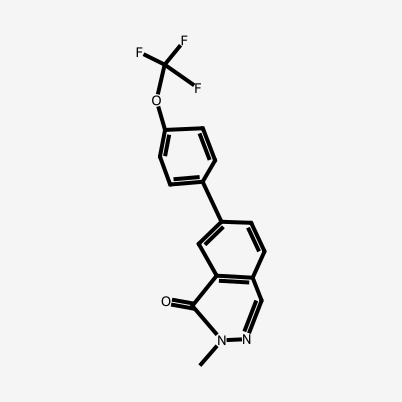 Cn1ncc2ccc(-c3ccc(OC(F)(F)F)cc3)cc2c1=O